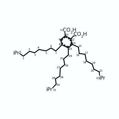 CC(C)CCCCCCCc1cc(C(=O)O)c(C(=O)O)c(CCCCCCCC(C)C)c1CCCCCCCC(C)C